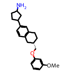 COc1cccc(OC[C@H]2CCc3cc(C4CCC(N)C4)ccc3C2)c1